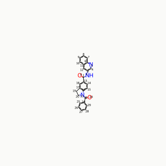 O=C(Nc1cnc2ccccc2c1)c1ccc2c(c1)CCN2C(=O)c1ccccc1